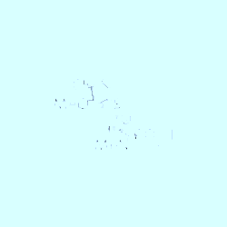 CNC(C(=O)O)[C@@H]1OC(Sc2ccc(Cl)c(OC)c2)C[C@H]1C